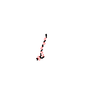 C#CCOCCOCCOCCOCC1OCCC2OC(C)(C)OC12